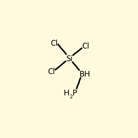 PB[Si](Cl)(Cl)Cl